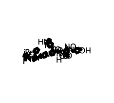 CC(C)c1ccccc1[C@@H]1CN(Cc2c(F)cccc2F)CCN1C1CC2(CCN(c3ccc(C(=O)NS(=O)(=O)c4cc([N+](=O)[O-])c(NCC5CCC(C)(O)CC5)c5c4OCO5)c(Oc4cnc5[nH]ccc5c4)c3)CC2)C1